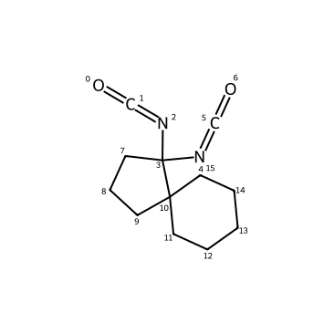 O=C=NC1(N=C=O)CCCC12CCCCC2